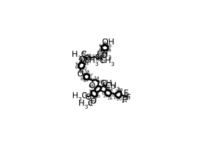 COc1cc2c3c(c4c(c2cc1OC)-c1ccc(-c2ccc(C(F)(F)F)cc2)cc1C4(C)C)C=CC(c1ccc(Oc2ccc(O[Si](C)(C)CCCC[Si](C)(C)Oc4ccc(O)cc4)cc2)cc1)O3